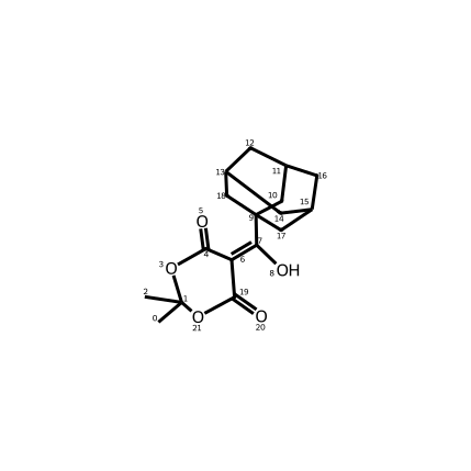 CC1(C)OC(=O)C(=C(O)C23CC4CC(CC(C4)C2)C3)C(=O)O1